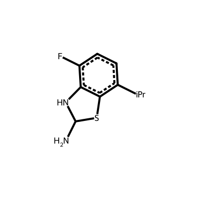 CC(C)c1ccc(F)c2c1SC(N)N2